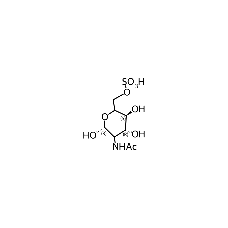 CC(=O)NC1[C@H](O)OC(COS(=O)(=O)O)[C@@H](O)[C@@H]1O